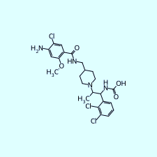 COc1cc(N)c(Cl)cc1C(=O)NCC1CCN(C(C)C(NC(=O)O)c2cccc(Cl)c2Cl)CC1